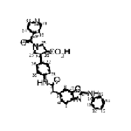 O=C(Cc1ccc2nc(Nc3ccccc3)oc2c1)Nc1ccc(C2CN(C(=O)c3ccncc3)CC2C(=O)O)cc1